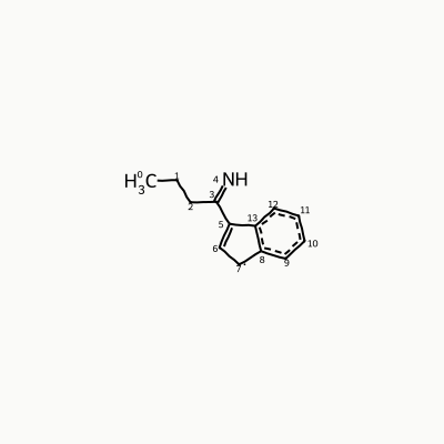 CCCC(=N)C1=C[CH]c2ccccc21